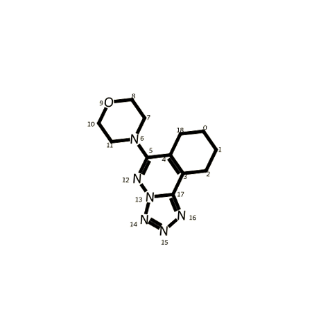 C1CCc2c(c(N3CCOCC3)nn3nnnc23)C1